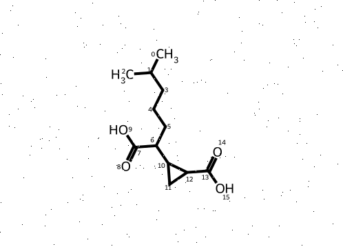 CC(C)CCCC(C(=O)O)C1CC1C(=O)O